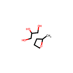 CC1CCCO1.OCC(O)CO